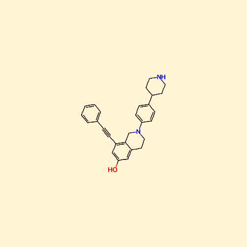 Oc1cc(C#Cc2ccccc2)c2c(c1)CCN(c1ccc(C3CCNCC3)cc1)C2